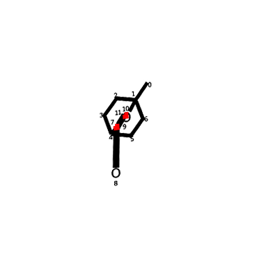 CC12CCC(CC1)C(=O)C=CO2